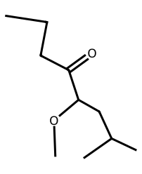 CCCC(=O)C(CC(C)C)OC